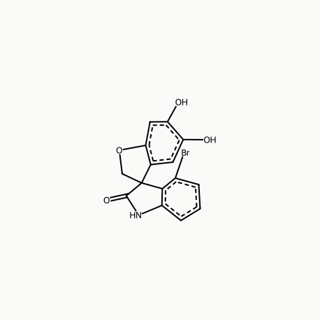 O=C1Nc2cccc(Br)c2C12COc1cc(O)c(O)cc12